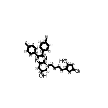 Cc1ccc(-c2nc3c(nc2-c2ccc(C)cc2)N(CCCCC2=C(O)CC(=O)C2)CC(O)C3)cc1